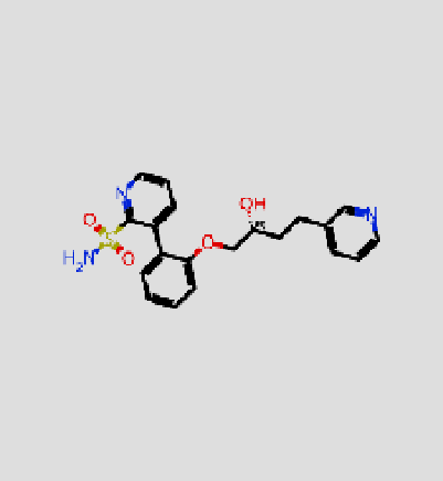 NS(=O)(=O)c1ncccc1-c1ccccc1OC[C@H](O)CCc1cccnc1